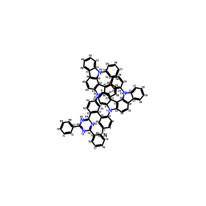 N#Cc1ccc(-n2c3ccccc3c3c2ccc2c4ccccc4n(-c4ccccc4)c23)c(-c2cc(-n3c4ccccc4c4c3ccc3c5ccccc5n(-c5ccccc5)c34)ccc2-c2nc(-c3ccccc3)nc(-c3ccccc3)n2)c1